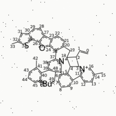 C=CC1C2C(c3ccccc3-c3ccc(C)c[n+]32)C12Cc1ccc3c(oc4c3ccc3cc(C)sc34)c1-c1cc(-c3c(C)cccc3C)c(CC(C)(C)C)c[n+]12